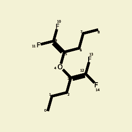 CCCC(OC(CCC)=C(F)F)=C(F)F